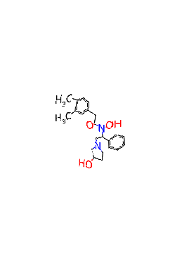 Cc1ccc(CC(=O)N(O)C(CN2CCC(O)C2)c2ccccc2)cc1C